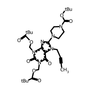 CC#CCn1c(N2CCN(C(=O)OC(C)(C)C)CC2)nc2c1c(=O)n(COC(=O)C(C)(C)C)c(=O)n2COC(=O)C(C)(C)C